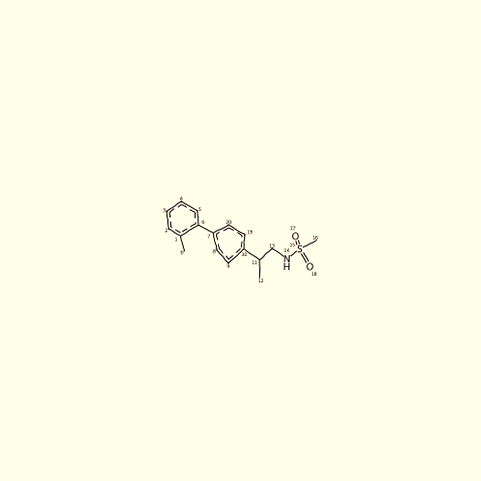 Cc1ccccc1-c1ccc(C(C)CNS(C)(=O)=O)cc1